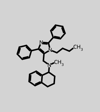 CCCCn1c(-c2ccccc2)nc(-c2ccccc2)c1CN(C)C1CCCc2ccccc21